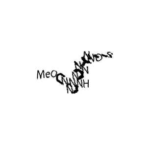 COC1CCN(c2nccc(Nc3cc4nc(-c5cnn(COCCS(C)(C)C)c5)n(C)c4cn3)n2)CC1